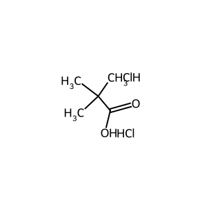 CC(C)(C)C(=O)O.Cl.Cl